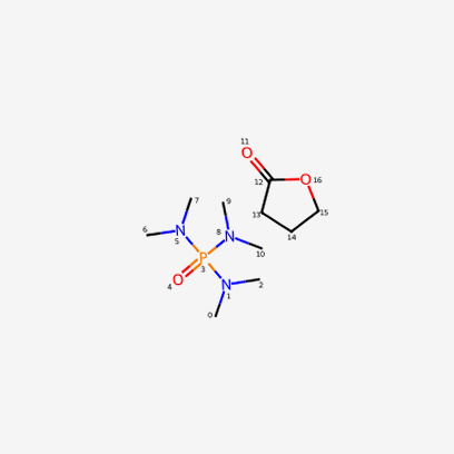 CN(C)P(=O)(N(C)C)N(C)C.O=C1CCCO1